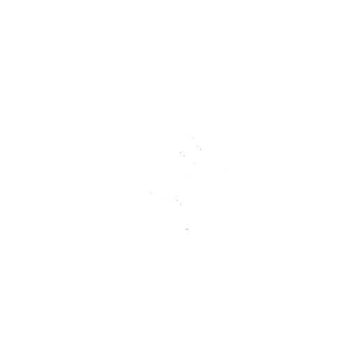 c1ccc2c(c1)-c1ccccc1-n1c3cc4c5ccccc5n(-c5nc(-c6ccc7c(c6)oc6ccccc67)c6oc7ccccc7c6n5)c4cc3c3cccc-2c31